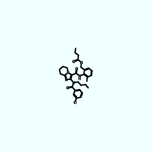 CCCCN(C(=O)c1cccc(Cl)c1)c1nc2n(c1C(=O)Nc1c(C)cccc1COC(=O)CCC)CCCC2